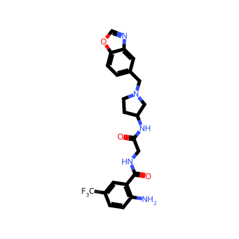 Nc1ccc(C(F)(F)F)cc1C(=O)NCC(=O)NC1CCN(Cc2ccc3ocnc3c2)C1